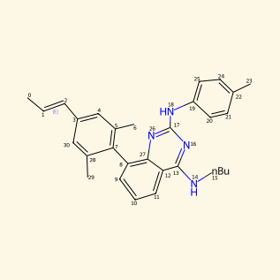 C/C=C/c1cc(C)c(-c2cccc3c(NCCCC)nc(Nc4ccc(C)cc4)nc23)c(C)c1